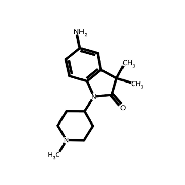 CN1CCC(N2C(=O)C(C)(C)c3cc(N)ccc32)CC1